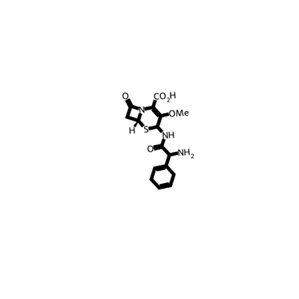 COC1=C(C(=O)O)N2C(=O)C[C@H]2SC1NC(=O)C(N)C1=CCC=CC1